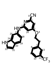 N#Cc1cc(OCCc2cccc(C(F)(F)F)c2)cc(Nc2ccc3cc[nH]c3c2)n1